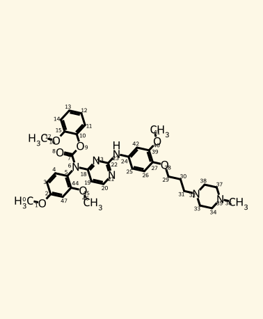 COc1ccc(N(C(=O)Oc2ccccc2OC)c2ccnc(Nc3ccc(OCCCN4CCN(C)CC4)c(OC)c3)n2)c(OC)c1